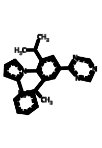 CC(C)c1cc(-c2ncncn2)cc(C(C)C)c1-n1cccc1-c1ccccc1